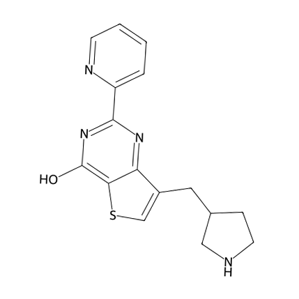 Oc1nc(-c2ccccn2)nc2c(CC3CCNC3)csc12